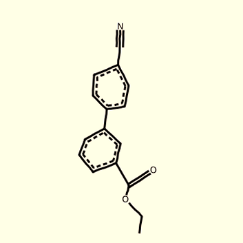 CCOC(=O)c1cccc(-c2ccc(C#N)cc2)c1